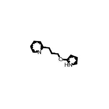 c1ccc(CCCOc2ccc[nH]2)nc1